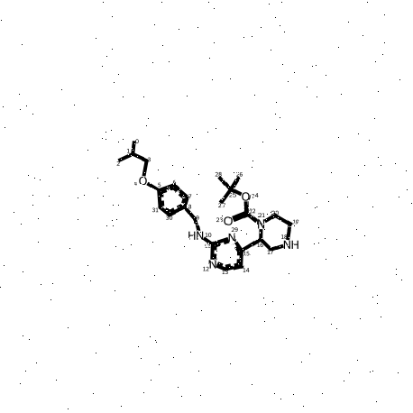 CC(C)COc1ccc(CNc2nccc(C3CNCCN3C(=O)OC(C)(C)C)n2)cc1